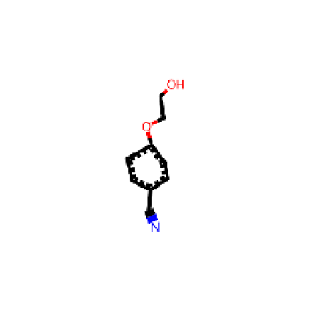 N#Cc1ccc(OCCO)cc1